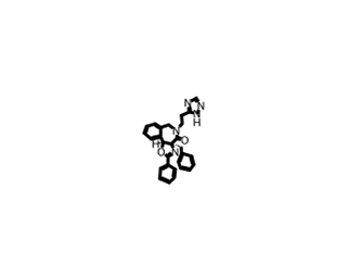 O=C1N(CCc2ncn[nH]2)Cc2ccccc2[C@@H]2OC(c3ccccc3)=N[C@]12Cc1ccccc1